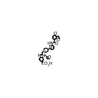 O=C(O)c1ccc2nc(CN3CCC(c4cccc(NC(=O)c5ccc(Cl)c6ccoc56)n4)CC3)n(C[C@@H]3CCO3)c2c1